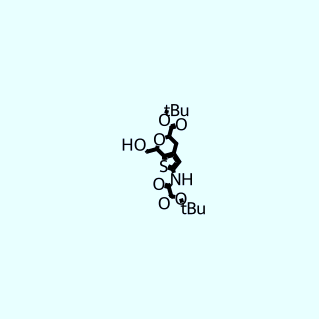 CC(C)(C)OC(=O)C(=O)Nc1cc2c(s1)C(CO)OC(C(=O)OC(C)(C)C)C2